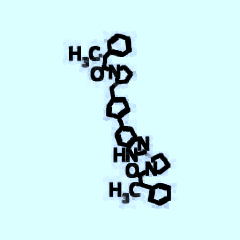 C[C@@H](C(=O)N1CCC[C@H]1Cc1ccc(-c2ccc3[nH]c([C@@H]4CCCN4C(=O)[C@H](C)c4ccccc4)nc3c2)cc1)c1ccccc1